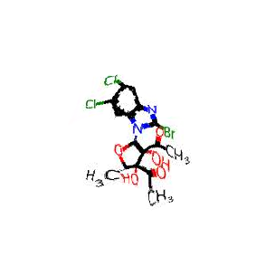 CC(=O)[C@@]1(O)[C@@H](n2c(Br)nc3cc(Cl)c(Cl)cc32)O[C@@H](C)[C@@]1(O)C(C)=O